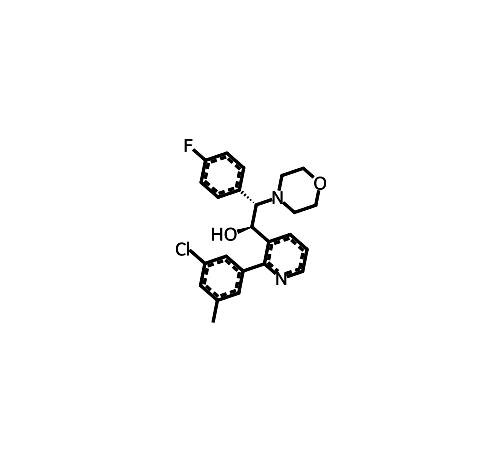 Cc1cc(Cl)cc(-c2ncccc2[C@@H](O)[C@H](c2ccc(F)cc2)N2CCOCC2)c1